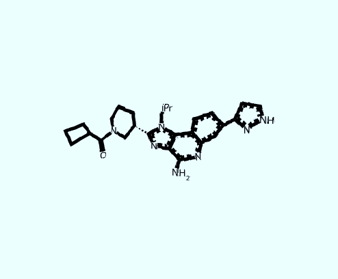 CC(C)n1c([C@H]2CCCN(C(=O)C3CCC3)C2)nc2c(N)nc3cc(-c4cc[nH]n4)ccc3c21